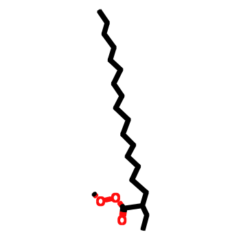 CCCCCCCCCCCCCCCCC(CC)C(=O)OOC